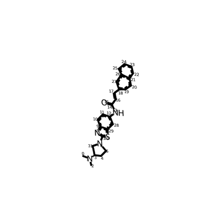 CN(C)[C@@H]1CCN(c2nc3ccc(NC(=O)/C=C/c4ccc5ccccc5c4)cc3s2)C1